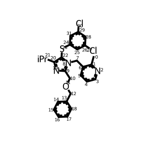 Cc1ncccc1Cn1c(COCc2ccccc2)nc(C(C)C)c1Sc1cc(Cl)cc(Cl)c1